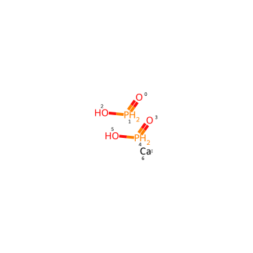 O=[PH2]O.O=[PH2]O.[Ca]